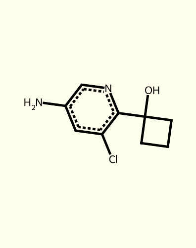 Nc1cnc(C2(O)CCC2)c(Cl)c1